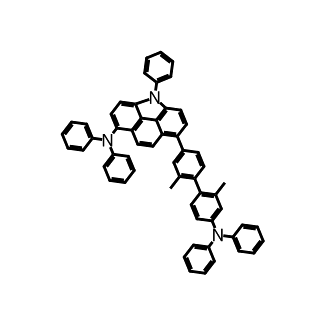 Cc1cc(-c2ccc3c4c2ccc2c(N(c5ccccc5)c5ccccc5)ccc(c24)n3-c2ccccc2)ccc1-c1ccc(N(c2ccccc2)c2ccccc2)cc1C